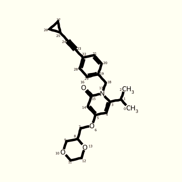 CC(C)c1cc(OCC2COCCO2)cc(=O)n1Cc1ccc(C#CC2CC2)cc1